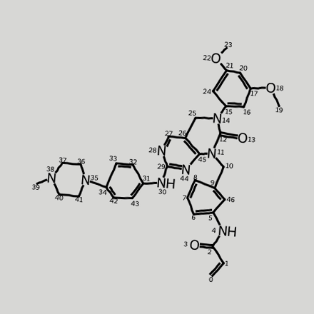 C=CC(=O)Nc1cccc(CN2C(=O)N(c3cc(OC)cc(OC)c3)Cc3cnc(Nc4ccc(N5CCN(C)CC5)cc4)nc32)c1